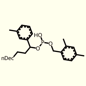 CCCCCCCCCCCCC(OP(O)OCc1ccc(C)cc1C)c1cccc(C)c1